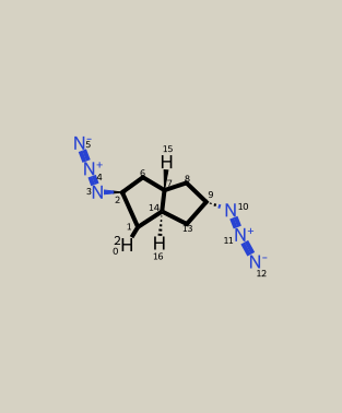 [2H]C1[C@@H](N=[N+]=[N-])C[C@@H]2C[C@H](N=[N+]=[N-])C[C@@H]12